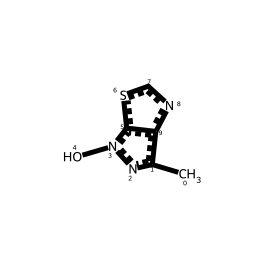 Cc1nn(O)c2scnc12